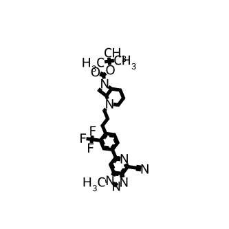 Cn1nnc2c(C#N)nc(-c3ccc(CCCN4CCCC5C4CN5C(=O)OC(C)(C)C)c(C(F)(F)F)c3)cc21